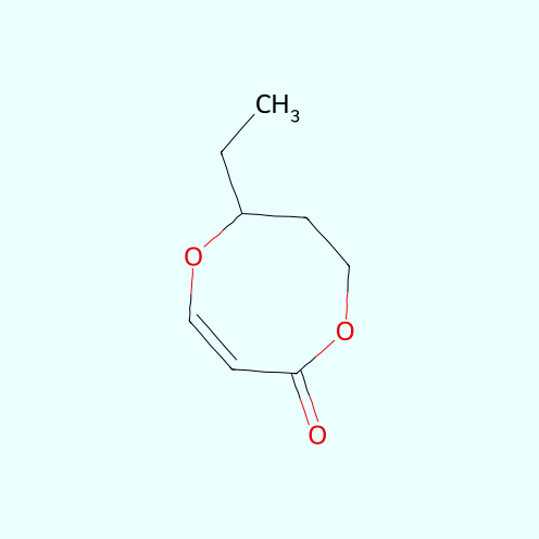 CCC1CCOC(=O)C=CO1